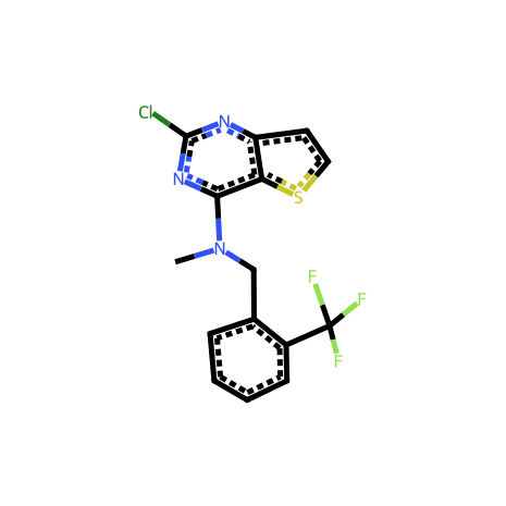 CN(Cc1ccccc1C(F)(F)F)c1nc(Cl)nc2ccsc12